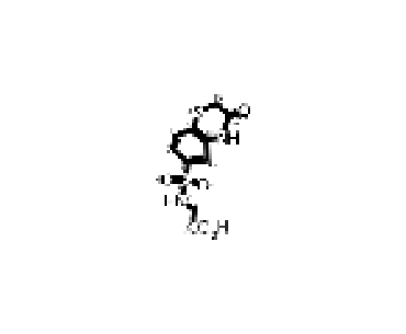 O=C(O)CNS(=O)(=O)c1ccc2c(c1)NC(=O)CS2